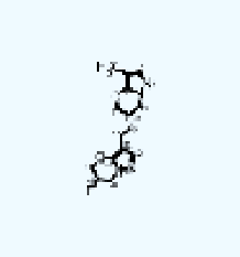 Cc1cnn2c1OC[C@@H](CCc1cnn3c1OCC(F)C3)C2